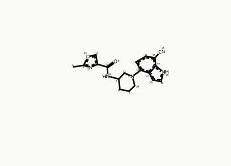 Cc1nc(C(=O)NC2CCCN(c3ccc(C#N)c4[nH]ccc34)C2)co1